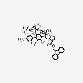 COC(=O)[C@@H](OC(C)(C)C)c1c(C)c(N(C[C@@H]2CCCN2C(=O)OCC2c3ccccc3-c3ccccc32)S(C)(=O)=O)c(Br)c(C)c1-c1ccc(C)cc1